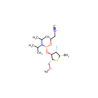 [2H]OC[C@H]1S[C@@H](B)[C@@H](F)[C@@H]1OP(OCC[N+]#[C-])N(C(C)C)C(C)C